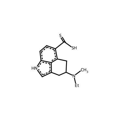 CCN(C)C1Cc2c[nH]c3ccc(C(=S)S)c(c23)C1